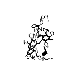 C=CCOc1c(C)c2c(c3c1CC1[C@@H]4c5c(cc(C)c(OC)c5OCOC)C[C@H](C(C#N)N1[C@H]3CNC(=O)OCC(Cl)(Cl)Cl)N4C)OCO2